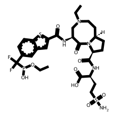 CCOP(O)C(F)(F)c1ccc2sc(C(=O)N[C@H]3CN(CC)CC[C@H]4CC[C@@H](C(=O)N[C@@H](CCS(N)(=O)=O)C(=O)O)N4C3=O)cc2c1